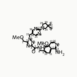 COCc1nc(C(=O)NCc2ccc3c(N)nccc3c2OC)nn1Cc1cnc(N2CCC(F)(F)C2)nc1